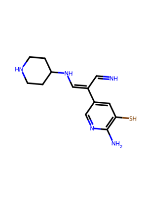 N=C/C(=C\NC1CCNCC1)c1cnc(N)c(S)c1